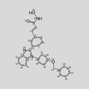 O=C(/C=C/c1cccc(-c2nc3ccccc3n2-c2ccc(OCc3ccccc3)cc2)c1)NO